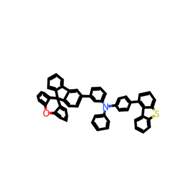 c1ccc(N(c2ccc(-c3cccc4sc5ccccc5c34)cc2)c2cccc(-c3ccc4c(c3)-c3ccccc3C43c4ccccc4Oc4ccccc43)c2)cc1